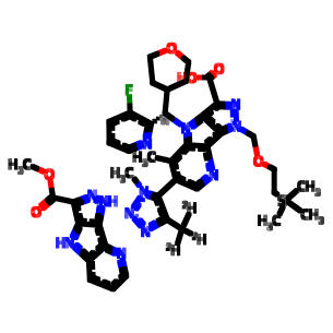 COC(=O)c1n[nH]c2c1[nH]c1cccnc12.[2H]C([2H])([2H])c1nnn(C)c1-c1cnc2c3c(c(C(=O)O)nn3COCC[Si](C)(C)C)n([C@H](c3ncccc3F)C3CCOCC3)c2c1C